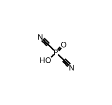 N#CP(=O)(O)C#N